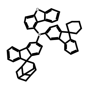 c1ccc2c(c1)-c1cc(N(c3ccc4c(c3)-c3ccccc3C43C4CC5CC(C4)CC3C5)c3cccc4oc5ccccc5c34)ccc1C21CCCCC1